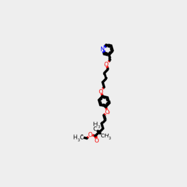 CCOC(=O)C(C)(C)CCCCOc1ccc(OCCCCCOCc2cccnc2)cc1